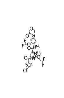 O=C(N[C@H](CNC(=O)c1ccc(Cl)s1)C(=O)Nc1ccc(N2CCOCC2=O)cc1OC(F)F)OCC(F)F